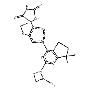 O=C1NC(=O)[C@@]2(COc3cc(-c4nc(N5CC[C@@H]5C(F)(F)F)nc5c4CCC5(F)F)ccc32)N1